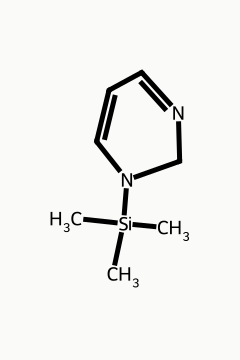 C[Si](C)(C)N1C=CC=NC1